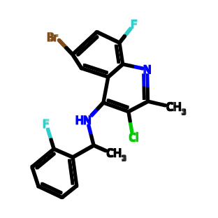 Cc1nc2c(F)cc(Br)cc2c(NC(C)c2ccccc2F)c1Cl